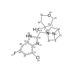 CC1(CN2C3CC2CN(Cc2nc4c(Cl)cc(F)cc4[nH]2)C3)CCOCC1